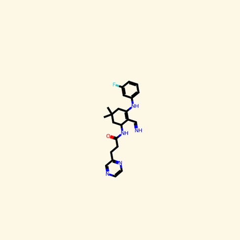 CC1(C)CC(Nc2cccc(F)c2)=C(C=N)C(NC(=O)CCc2cnccn2)C1